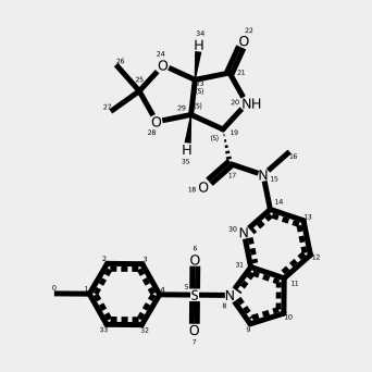 Cc1ccc(S(=O)(=O)n2ccc3ccc(N(C)C(=O)[C@H]4NC(=O)[C@H]5OC(C)(C)O[C@@H]45)nc32)cc1